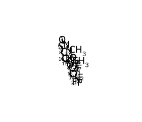 CNC1=NC(=O)SC1=Cc1ccc(OCc2ccc(C(F)(F)F)cc2C(F)(F)F)c(OC)c1